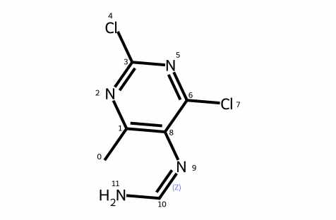 Cc1nc(Cl)nc(Cl)c1/N=C\N